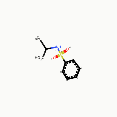 CCCC(NS(=O)(=O)c1ccccc1)C(=O)O